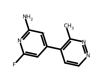 Cc1nnccc1-c1[c]c(N)nc(F)c1